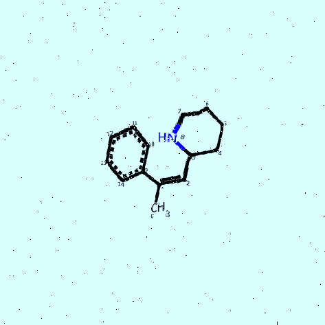 CC(=CC1CCCCN1)c1ccccc1